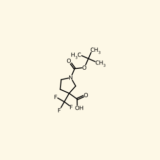 CC(C)(C)OC(=O)N1CCC(C(=O)O)(C(F)(F)F)C1